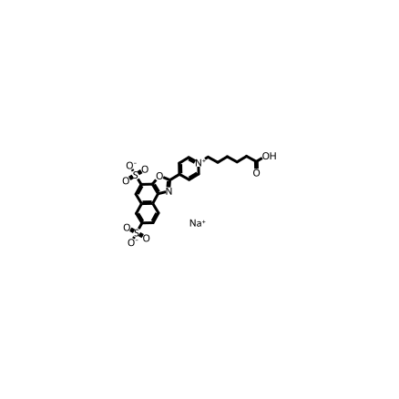 O=C(O)CCCCC[n+]1ccc(-c2nc3c(o2)c(S(=O)(=O)[O-])cc2cc(S(=O)(=O)[O-])ccc23)cc1.[Na+]